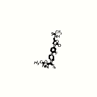 CC(=S)NCC1CN(c2ccc(N3CCN(C(=S)c4nnc(C)o4)CC3)c(F)c2)C(=O)O1